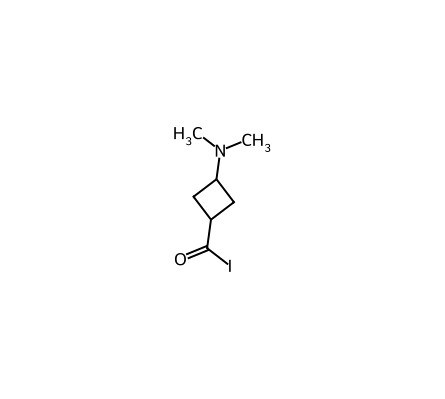 CN(C)C1CC(C(=O)I)C1